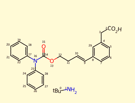 CC(C)(C)N.O=C(O)Cc1cccc(C=CCCOC(=O)N(c2ccccc2)c2ccccc2)c1